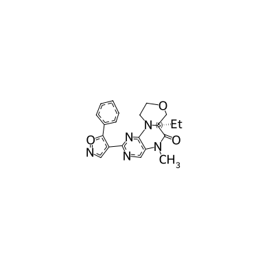 CC[C@@]12COCCN1c1nc(-c3cnoc3-c3ccccc3)ncc1N(C)C2=O